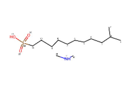 CC(C)CCCCCCCCCS(=O)(=O)O.CNC